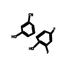 N#Cc1cccc(O)c1.Oc1ccc(F)cc1F